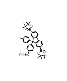 CCCCCCc1ccc(C2(c3ccc(C)cc3)c3cc(B4OC(C)(C)C(C)(C)O4)ccc3-c3ccc(B4OC(C)(C)C(C)(C)O4)cc32)cc1